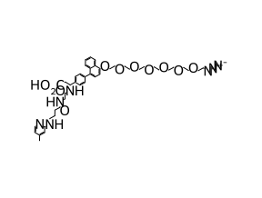 Cc1ccnc(NCCCC(=O)NCC(=O)NC(CC(=O)O)c2ccc(-c3ccc(OCCOCCOCCOCCOCCOCCOCCN=[N+]=[N-])c4ccccc34)cc2)c1